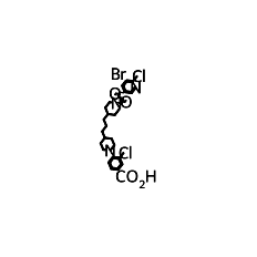 O=C(O)c1ccc(N2CCC(CCCC3CCN(S(=O)(=O)c4cnc(Cl)c(Br)c4)CC3)CC2)c(Cl)c1